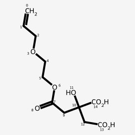 C=CCOCCOC(=O)CC(O)(CC(=O)O)C(=O)O